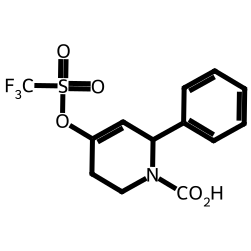 O=C(O)N1CCC(OS(=O)(=O)C(F)(F)F)=CC1c1ccccc1